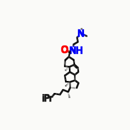 CC(C)CCC[C@@H](C)[C@H]1CCC2C3CC=C4CC(C(=O)NCCCN(C)C)CC[C@]4(C)C3CC[C@@]21C